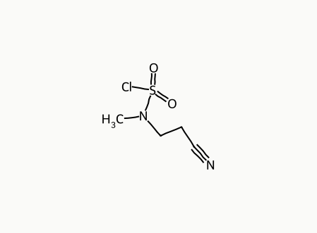 CN(CCC#N)S(=O)(=O)Cl